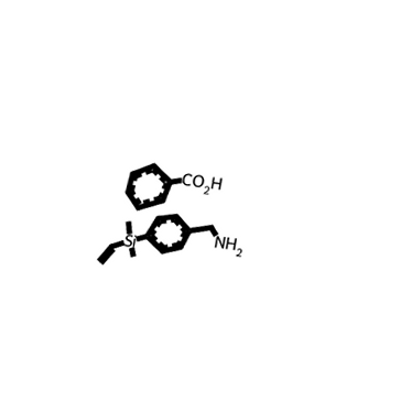 C=C[Si](C)(C)c1ccc(CN)cc1.O=C(O)c1ccccc1